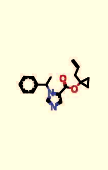 C=CCC1(OC(=O)c2cncn2C(C)c2ccccc2)CC1